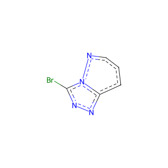 Brc1nnc2cccnn12